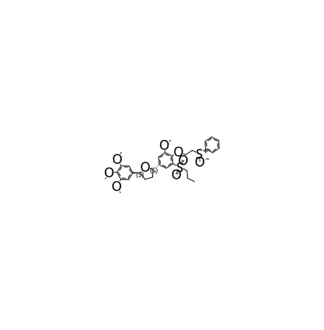 CCCS(=O)(=O)c1cc([C@@H]2CC[C@@H](c3cc(OC)c(OC)c(OC)c3)O2)cc(OC)c1OCC[S+]([O-])c1ccccc1